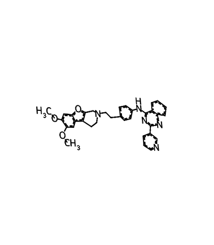 COc1cc2oc3c(c2cc1OC)CCN(CCc1ccc(Nc2nc(-c4cccnc4)nc4ccccc24)cc1)C3